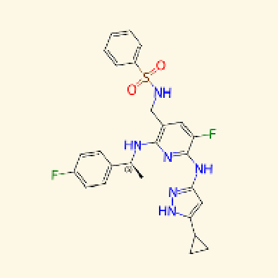 C[C@H](Nc1nc(Nc2cc(C3CC3)[nH]n2)c(F)cc1CNS(=O)(=O)c1ccccc1)c1ccc(F)cc1